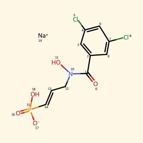 O=C(c1cc(Cl)cc(Cl)c1)N(O)C/C=C/P(=O)([O-])O.[Na+]